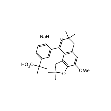 COc1cc2c(c3c1OC(C)(C)C3)C(c1cccc(C(C)(C)C(=O)O)c1)=NC(C)(C)C2.[NaH]